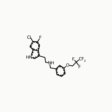 Fc1cc2c(CCNCc3cccc(OCC(F)(F)C(F)(F)F)c3)c[nH]c2cc1Cl